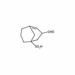 O=CC1C=C2CCCC(S(=O)(=O)O)(C2)C1